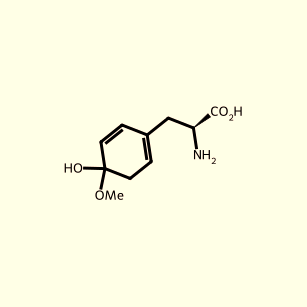 COC1(O)C=CC(C[C@H](N)C(=O)O)=CC1